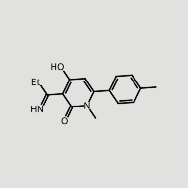 CCC(=N)c1c(O)cc(-c2ccc(C)cc2)n(C)c1=O